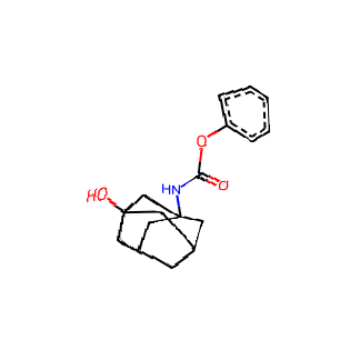 O=C(NC12CC3CC(CC(O)(C3)C1)C2)Oc1ccccc1